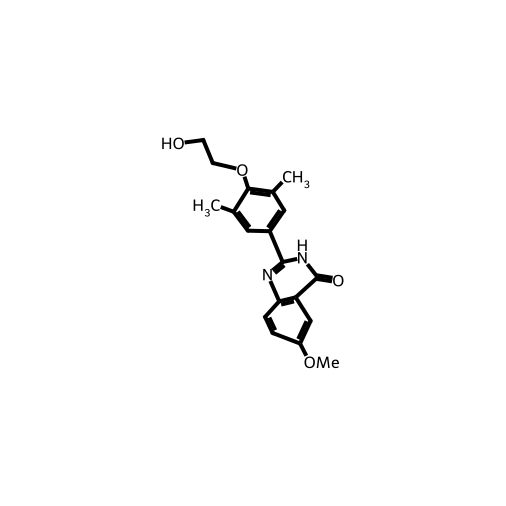 COc1ccc2nc(-c3cc(C)c(OCCO)c(C)c3)[nH]c(=O)c2c1